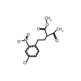 COC(=O)C(CCc1ccc(Cl)cc1[N+](=O)[O-])C(C)=O